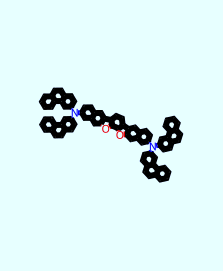 c1ccc2c(c1)ccc1ccc(N(c3ccc4cc5c(cc4c3)oc3c5ccc4c5cc6ccc(N(c7ccc8ccc9ccccc9c8c7)c7ccc8ccc9ccccc9c8c7)cc6cc5oc43)c3ccc4ccc5ccccc5c4c3)cc12